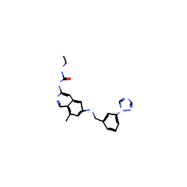 CCNC(=O)Nc1cc2cc(NCc3cccc(-n4cncn4)c3)cc(C)c2cn1